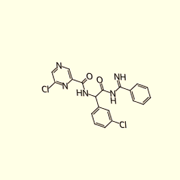 N=C(NC(=O)C(NC(=O)c1cncc(Cl)n1)c1cccc(Cl)c1)c1ccccc1